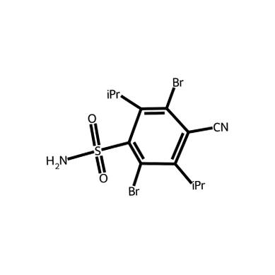 CC(C)c1c(Br)c(S(N)(=O)=O)c(C(C)C)c(Br)c1C#N